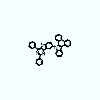 c1ccc(-c2nc(-c3ccccc3)c3sc4ccc(-n5c6ccccc6c6c7ccccc7c7ccccc7c65)cc4c3n2)cc1